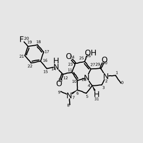 CCN1C[C@@H]2C[C@@H](N(C)C)c3c(C(=O)NCc4ccc(F)cc4)c(=O)c(O)c(n32)C1=O